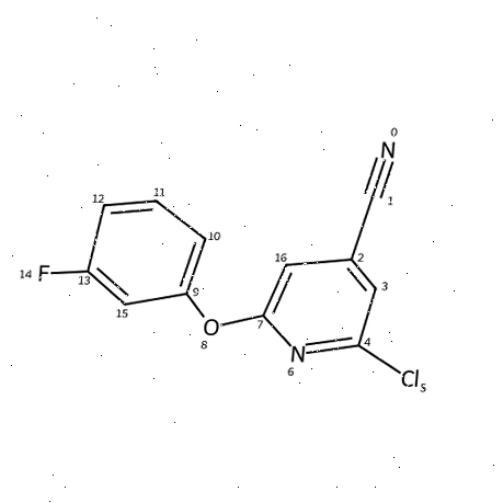 N#Cc1cc(Cl)nc(Oc2cccc(F)c2)c1